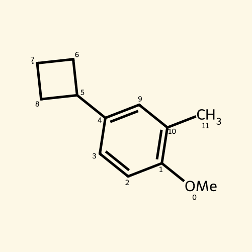 COc1ccc(C2C[CH]C2)cc1C